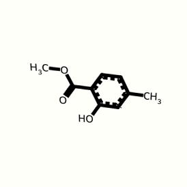 COC(=O)c1ccc(C)[c]c1O